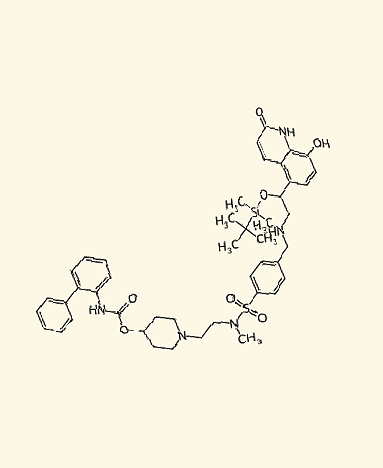 CN(CCN1CCC(OC(=O)Nc2ccccc2-c2ccccc2)CC1)S(=O)(=O)c1ccc(CNCC(O[Si](C)(C)C(C)(C)C)c2ccc(O)c3[nH]c(=O)ccc23)cc1